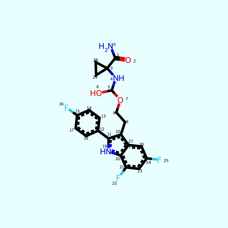 NC(=O)C1(NC(O)OCCc2c(-c3ccc(F)cc3)[nH]c3c(F)cc(F)cc23)CC1